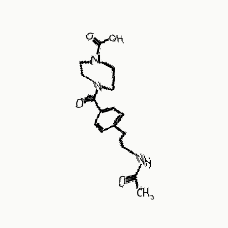 CC(=O)NCCc1ccc(C(=O)N2CCN(C(=O)O)CC2)cc1